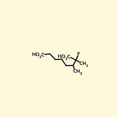 CC(CCCCC(=O)O)C(C)(F)C(=O)O